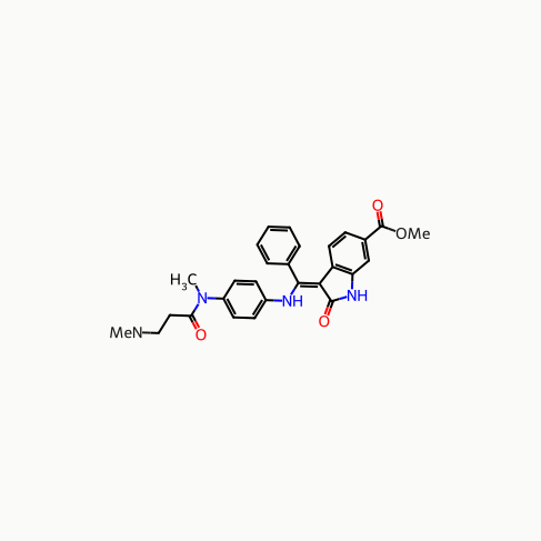 CNCCC(=O)N(C)c1ccc(N/C(=C2\C(=O)Nc3cc(C(=O)OC)ccc32)c2ccccc2)cc1